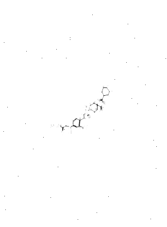 CNC(=O)CNc1ccc(CCS(=O)(=O)N2CCC3(CC2)N=C(C2CCCCC2)NC3=O)c(C(F)(F)F)c1